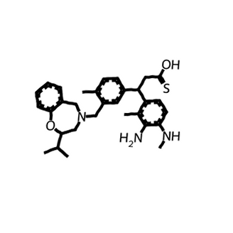 CNc1ccc(C(CC(O)=S)c2ccc(C)c(CN3Cc4ccccc4OC(C(C)C)C3)c2)c(C)c1N